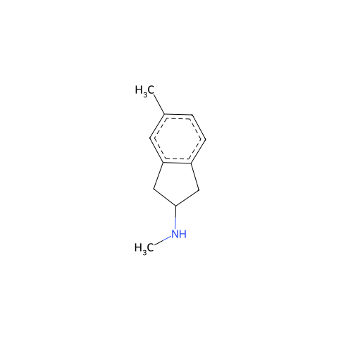 CNC1Cc2ccc(C)cc2C1